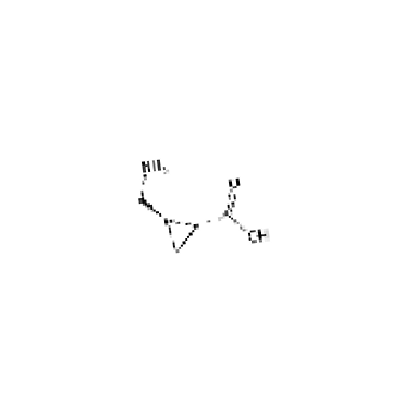 NC[C@@H]1C[C@H]1C(=O)O